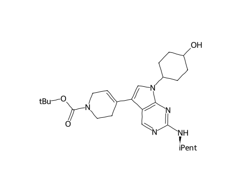 CCC[C@H](C)Nc1ncc2c(C3=CCN(C(=O)OC(C)(C)C)CC3)cn(C3CCC(O)CC3)c2n1